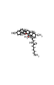 CC1=C2C[C@H]3[C@@H](CC=C4C[C@@H](O)CC[C@@]43C)[C@@H]2CCC12O[C@@H]1C[C@H](C)CN(CCNC(=O)CCCCCN)[C@H]1[C@H]2C